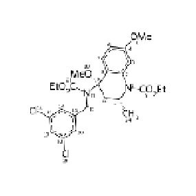 CCOC(=O)N1c2cc(OC)ccc2[C@](OC)(N(Cc2cc(Cl)cc(Cl)c2)C(=O)OCC)C[C@H]1C